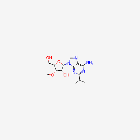 CO[C@H]1[C@@H](O)[C@H](n2cnc3c(N)nc(C(C)C)nc32)O[C@@H]1CO